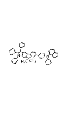 CC1(C)c2cc(-c3ccc(N(c4ccccc4)c4cccc5ccccc45)cc3)ccc2-c2cc3c(-c4ccccc4)c(-c4ccccc4)n(-c4ccccc4)c3cc21